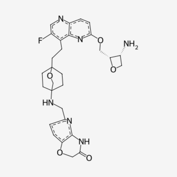 N[C@@H]1CO[C@@H]1COc1ccc2ncc(F)c(CCC34CCC(NCc5ccc6c(n5)NC(=O)CO6)(CC3)CO4)c2n1